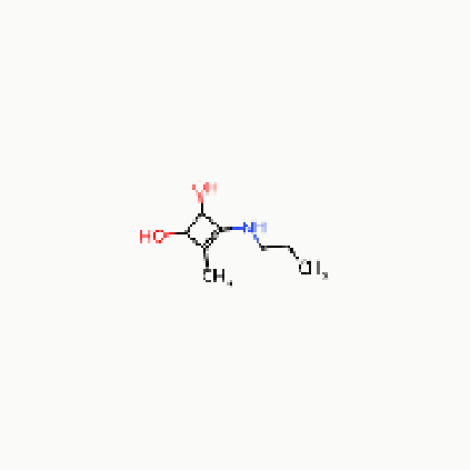 CCCNC1=C(C)C(O)C1O